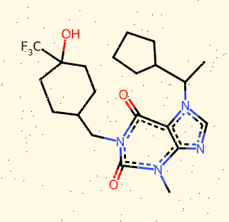 CC(C1CCCC1)n1cnc2c1c(=O)n(CC1CCC(O)(C(F)(F)F)CC1)c(=O)n2C